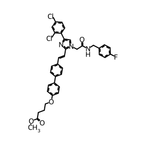 COC(=O)CCCOc1ccc(-c2ccc(C=Cc3nc(-c4ccc(Cl)cc4Cl)cn3CC(=O)NCc3ccc(F)cc3)cc2)cc1